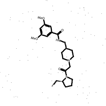 COc1cc(OC)cc(C(=O)NCC2CCN(CC(=O)N3CCC[C@H]3CF)CC2)c1